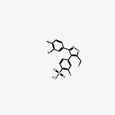 Cc1ccc(-c2noc(CF)c2-c2ccc(S(N)(=O)=O)c(F)c2)cc1Br